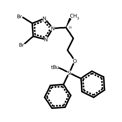 C[C@@H](CCO[Si](c1ccccc1)(c1ccccc1)C(C)(C)C)n1nc(Br)c(Br)n1